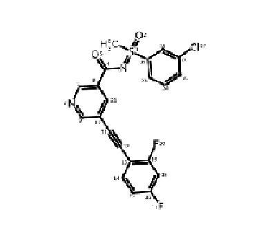 CS(=O)(=NC(=O)c1cncc(C#Cc2ccc(F)cc2F)c1)c1cccc(Cl)c1